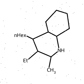 CCCCCCC1C(CC)C(C)NC2CCCCC21